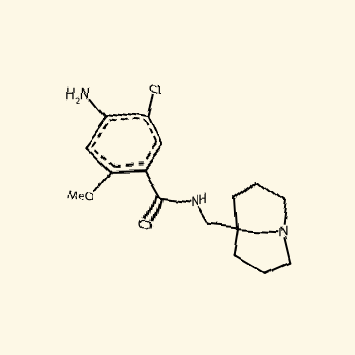 COc1cc(N)c(Cl)cc1C(=O)NCC12CCCN1CCC2